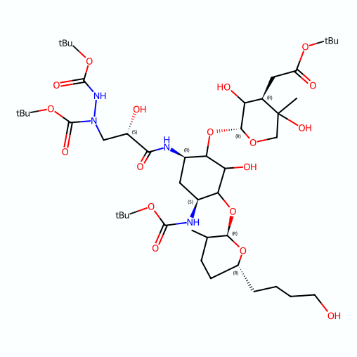 CC1CC[C@@H](CCCCO)O[C@@H]1OC1C(O)C(O[C@H]2OCC(C)(O)[C@H](CC(=O)OC(C)(C)C)C2O)[C@H](NC(=O)[C@@H](O)CN(NC(=O)OC(C)(C)C)C(=O)OC(C)(C)C)C[C@@H]1NC(=O)OC(C)(C)C